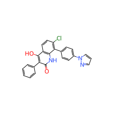 O=c1[nH]c2c(-c3ccc(-n4cccn4)cc3)c(Cl)ccc2c(O)c1-c1ccccc1